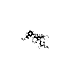 CNC(C)CCn1c(C(C)(C)C)cc(C(=O)Nc2cccc(C(C)(F)F)c2)c1C